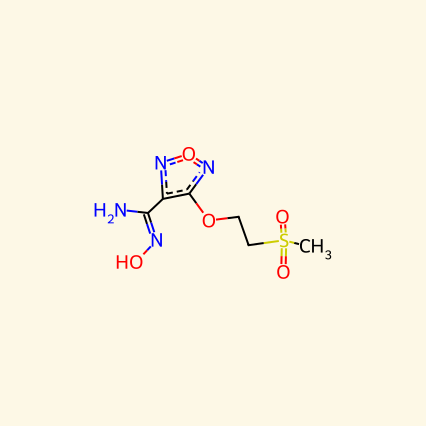 CS(=O)(=O)CCOc1nonc1/C(N)=N/O